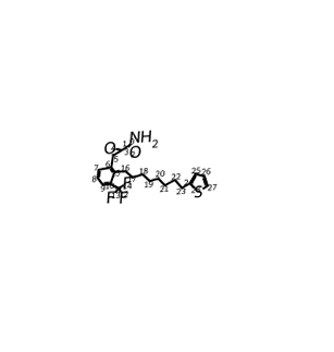 NC(=O)C1OC1c1cccc(C(F)(F)F)c1CCCCCCCCc1cccs1